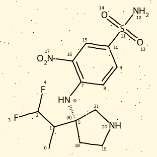 CC(C(F)F)[C@]1(Nc2ccc(S(N)(=O)=O)cc2[N+](=O)[O-])CCNC1